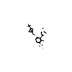 Cc1c(S(N)(=O)=O)ccc(NCC23CC(C(F)(F)F)(C2)C3)c1-c1cn(C)cn1